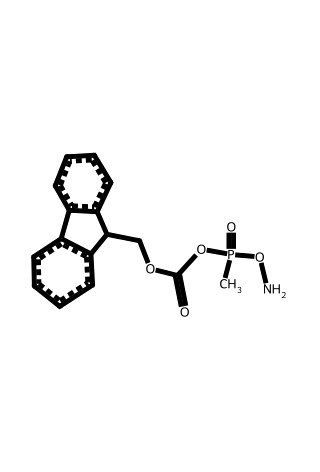 CP(=O)(ON)OC(=O)OCC1c2ccccc2-c2ccccc21